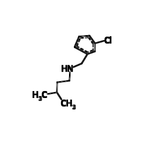 CC(C)CCNCc1cccc(Cl)c1